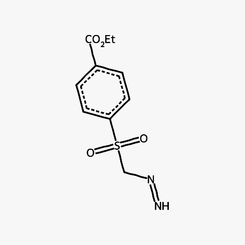 CCOC(=O)c1ccc(S(=O)(=O)CN=N)cc1